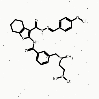 CCN(CC)CCN(C)Cc1cccc(C(=O)Nc2sc3c(c2C(=O)NN=Cc2ccc(OC(F)(F)F)cc2)CCCC3)c1